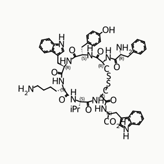 CC(C)[C@@H]1NC(=O)[C@H](CCCCN)NC(=O)[C@@H](Cc2c[nH]c3ccccc23)NC(=O)[C@H](Cc2ccc(O)cc2)NC(=O)[C@@H](NC(=O)[C@H](N)Cc2ccccc2)CSSC[C@@H](C(=O)N[C@@H](Cc2c[nH]c3ccccc23)C(=O)O)NC1=O